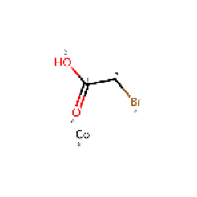 O=C(O)CBr.[Co]